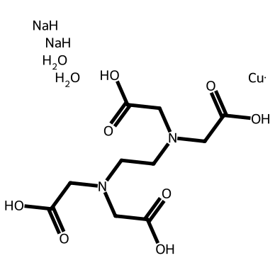 O.O.O=C(O)CN(CCN(CC(=O)O)CC(=O)O)CC(=O)O.[Cu].[NaH].[NaH]